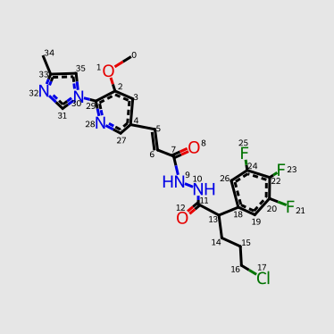 COc1cc(/C=C/C(=O)NNC(=O)C(CCCCl)c2cc(F)c(F)c(F)c2)cnc1-n1cnc(C)c1